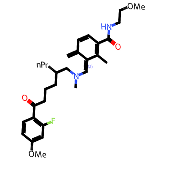 C=c1ccc(C(=O)NCCOC)c(C)/c1=C/N(C)CC(CCC)CCCC(=O)c1ccc(OC)cc1F